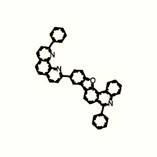 c1ccc(-c2ccc3ccc4ccc(-c5ccc6oc7c(ccc8c(-c9ccccc9)nc9ccccc9c87)c6c5)nc4c3n2)cc1